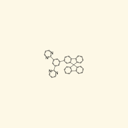 c1cnc(-c2cc(-c3ccc4c(c3)C3(c5ccccc5-c5ccccc53)c3ccccc3-4)cc(-c3ncccn3)c2)nc1